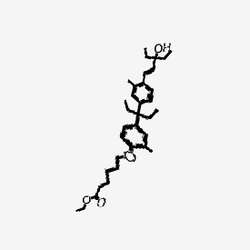 CCOC(=O)CCCCCOc1ccc(C(CC)(CC)c2ccc(C=CC(O)(CC)CC)c(C)c2)cc1C